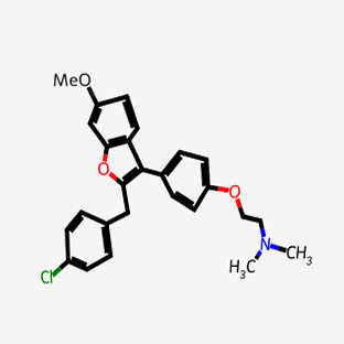 COc1ccc2c(-c3ccc(OCCN(C)C)cc3)c(Cc3ccc(Cl)cc3)oc2c1